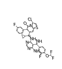 N=C(c1ccc(OC(F)F)c(F)c1)c1c(N)ncnc1N[C@H](c1cc2scc(Cl)n2c(=O)c1-c1cccc(F)c1)C1CC1